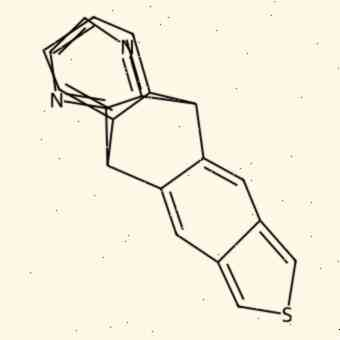 c1ccc2c(c1)C1c3cc4cscc4cc3C2c2nccnc21